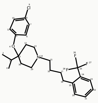 CC(C)C1(Oc2ccc(Cl)cc2)CCN(CCCCc2ccccc2C(F)(F)F)CC1